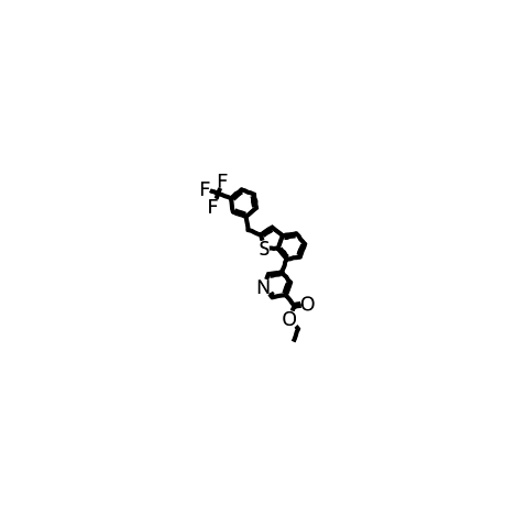 CCOC(=O)c1cncc(-c2cccc3cc(Cc4cccc(C(F)(F)F)c4)sc23)c1